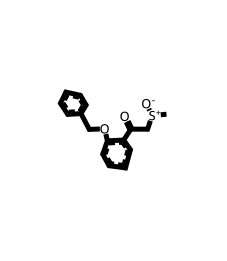 C[S+]([O-])CC(=O)c1ccccc1OCc1ccccc1